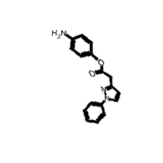 Nc1ccc(OC(=O)Cc2ccn(-c3ccccc3)n2)cc1